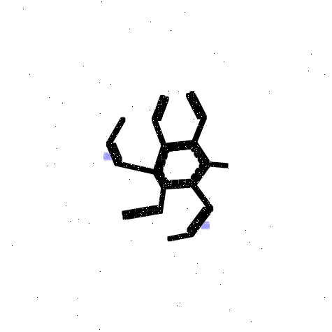 C=Cc1c(C)c(/C=C\C)c(C=C)c(/C=C\C)c1C=C